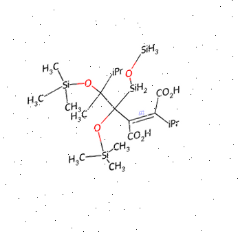 CC(C)/C(C(=O)O)=C(\C(=O)O)C(O[Si](C)(C)C)([SiH2]O[SiH3])C(C)(O[Si](C)(C)C)C(C)C